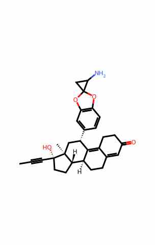 CC#C[C@]1(O)CC[C@H]2[C@@H]3CCC4=CC(=O)CCC4=C3[C@@H](c3ccc4c(c3)OC3(CC3N)O4)C[C@@]21C